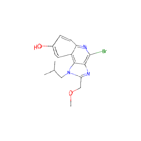 COCc1nc2c(Br)nc3ccc(O)cc3c2n1CC(C)C